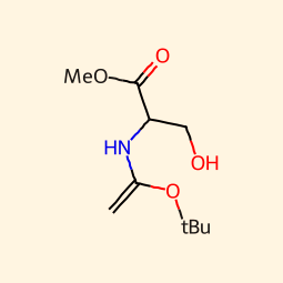 C=C(NC(CO)C(=O)OC)OC(C)(C)C